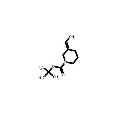 C/C=C1\CCCN(C(=O)OC(C)(C)C)C1